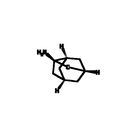 N[C@@]12C[C@@H]3C[C@@H](C[C@H]1C3)C2